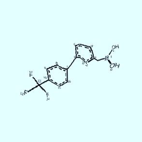 OB(O)c1ccc(-c2ccc(C(F)(F)F)cc2)s1